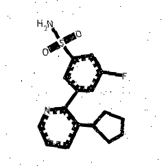 NS(=O)(=O)c1cc(F)cc(-c2ncccc2C2CCCC2)c1